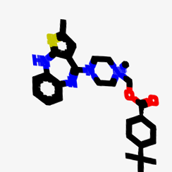 Cc1cc2c(s1)Nc1ccccc1N=C2N1CC[N+](C)(COC(=O)[C@H]2CC[C@H](C(C)(C)C)CC2)CC1